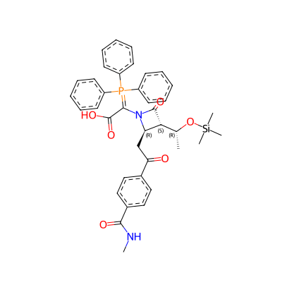 CNC(=O)c1ccc(C(=O)C[C@@H]2[C@@H]([C@@H](C)O[Si](C)(C)C)C(=O)N2C(C(=O)O)=P(c2ccccc2)(c2ccccc2)c2ccccc2)cc1